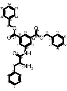 NC(Cc1ccccc1)C(=O)Nc1cc(C(=O)OCc2ccccc2)cc(C(=O)OCc2ccccc2)c1